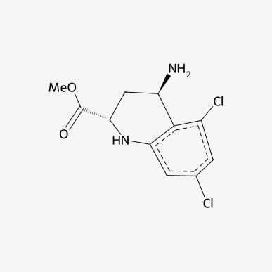 COC(=O)[C@@H]1C[C@@H](N)c2c(Cl)cc(Cl)cc2N1